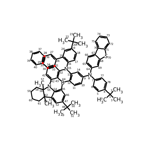 CC(C)(C)c1ccc(N(c2ccc3c(c2)N(c2ccc(C(C)(C)C)cc2-c2ccccc2)c2cc(-c4ccccc4)cc4c2B3c2cc(C(C)(C)C)cc3c2N4C2(C)CCCCC32C)c2ccc3c(c2)sc2ccccc23)cc1